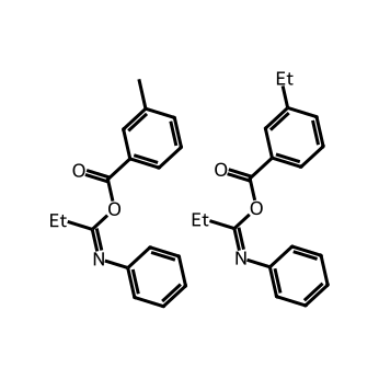 CCC(=Nc1ccccc1)OC(=O)c1cccc(C)c1.CCC(=Nc1ccccc1)OC(=O)c1cccc(CC)c1